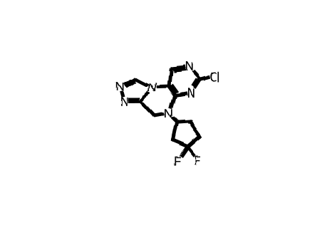 FC1(F)CCC(N2Cc3nncn3-c3cnc(Cl)nc32)C1